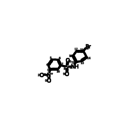 O=[N+]([O-])c1cccc(S(=O)(=O)Nc2ccc(Br)cc2)c1